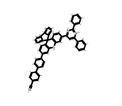 N#Cc1ccc(-c2ccc(-c3ccc4c(c3)Sc3cc(-c5cc(-c6ccccc6)nc(-c6ccccc6)n5)ccc3C43c4ccccc4-c4ccccc43)cc2)cc1